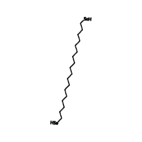 [SeH]CCCCCCCCCCCCCCCCCC[SeH]